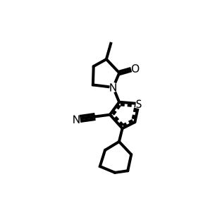 CC1CCN(c2scc(C3CCCCC3)c2C#N)C1=O